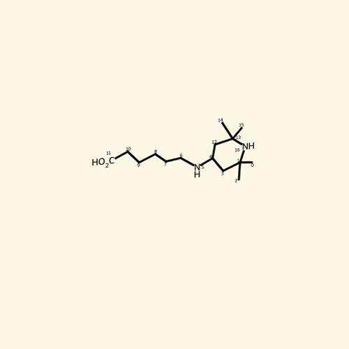 CC1(C)CC(NCCCCCC(=O)O)CC(C)(C)N1